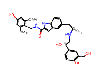 COc1cc(O)cc(OC)c1CNC(=O)c1cc2cc(C[C@@H](C)NC[C@@H](O)c3ccc(O)c(CO)c3)ccc2[nH]1